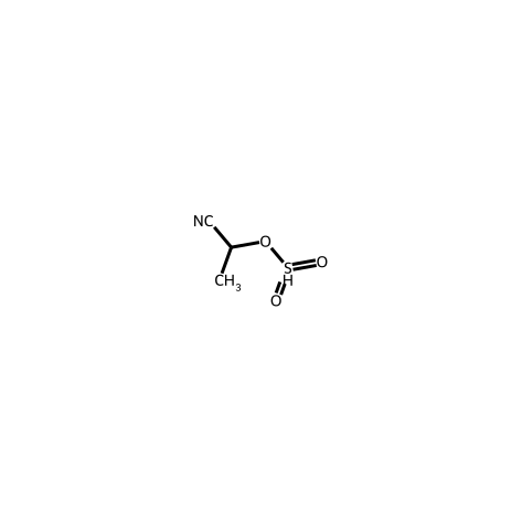 CC(C#N)O[SH](=O)=O